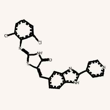 O=C1NC(=Nc2c(Cl)cccc2Cl)SC1=Cc1ccc2[nH]c(-c3ccncc3)nc2c1